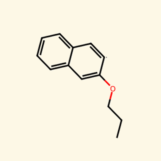 CCCOc1[c]cc2ccccc2c1